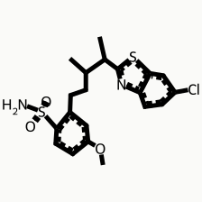 COc1ccc(S(N)(=O)=O)c(CCC(C)C(C)c2nc3ccc(Cl)cc3s2)c1